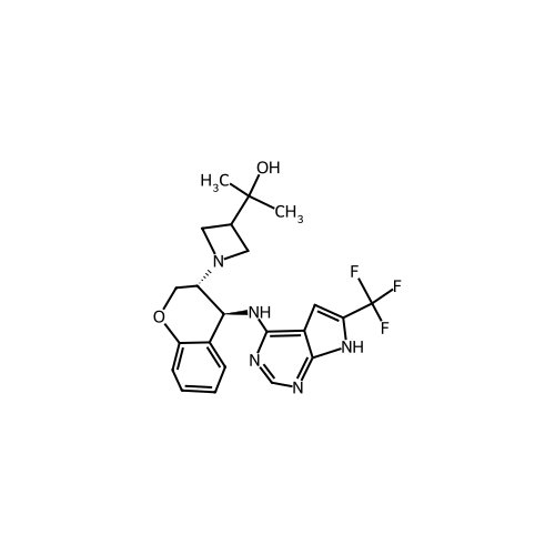 CC(C)(O)C1CN([C@H]2COc3ccccc3[C@@H]2Nc2ncnc3[nH]c(C(F)(F)F)cc23)C1